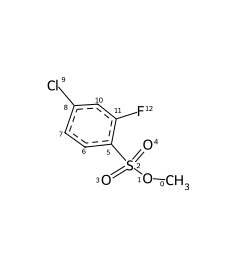 COS(=O)(=O)c1ccc(Cl)cc1F